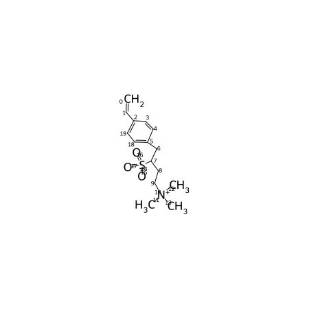 C=Cc1ccc(CC(CC[N+](C)(C)C)S(=O)(=O)[O-])cc1